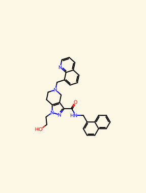 O=C(NCc1cccc2ccccc12)c1nn(CCO)c2c1CN(Cc1cccc3cccnc13)CC2